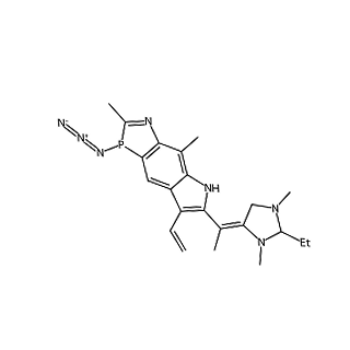 C=Cc1c(/C(C)=C2\CN(C)C(CC)N2C)[nH]c2c(C)c3nc(C)p(N=[N+]=[N-])c3cc12